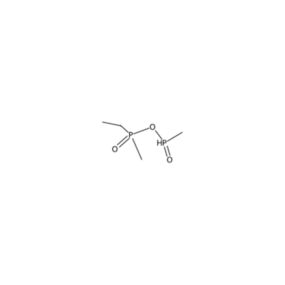 CCP(C)(=O)O[PH](C)=O